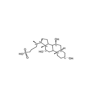 C[C@H](CCCS(=O)(=O)O)[C@H]1CCC2C3C(C[C@H](O)[C@@]21C)[C@@]1(C)CC[C@@H](O)C[C@H]1C[C@@H]3O